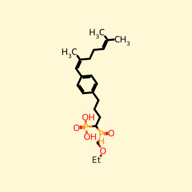 CCOC[PH](=O)C(CCCc1ccc(C=C(C)CCC=C(C)C)cc1)P(=O)(O)O